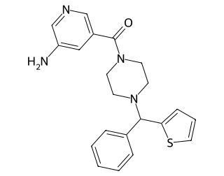 Nc1cncc(C(=O)N2CCN(C(c3ccccc3)c3cccs3)CC2)c1